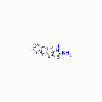 NC(=S)NC1=CC=C(CN2CCOCC2)CC1